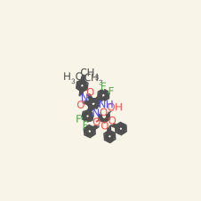 CC(C)(C)c1ccc(CN2C(=O)c3c(c4c5cc(F)c(F)cc5n([C@@H]5O[C@H](CO)[C@@H](OCc6ccccc6)[C@H](OCc6ccccc6)[C@H]5OCc5ccccc5)c4c4[nH]c5cc(F)c(F)cc5c34)C2=O)cc1